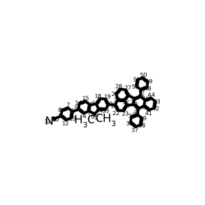 CC1(C)c2cc(-c3ccc(C#N)cc3)ccc2-c2ccc(-c3ccc4c5c(cccc35)-c3c-4c(-c4ccccc4)c4ccccc4c3-c3ccccc3)cc21